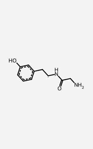 NCC(=O)N[CH]Cc1cccc(O)c1